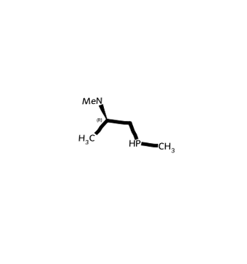 CN[C@H](C)CPC